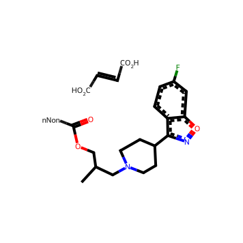 CCCCCCCCCC(=O)OCC(C)CN1CCC(c2noc3cc(F)ccc23)CC1.O=C(O)C=CC(=O)O